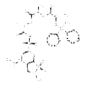 CCN[C@H]1C=C(S(=O)(=O)NC(=O)[C@H](C)OC(=O)C(C)OC(=O)[C@H](C)O[Si](c2ccccc2)(c2ccccc2)C(C)(C)C)SC2=C1C[C@H](C)S2(=O)=O